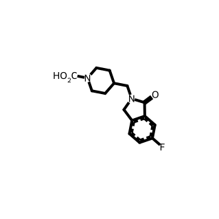 O=C(O)N1CCC(CN2Cc3ccc(F)cc3C2=O)CC1